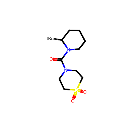 CC(C)(C)C1CCCCN1C(=O)N1CCS(=O)(=O)CC1